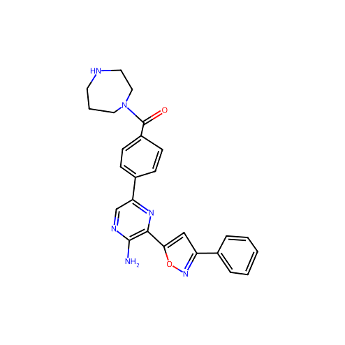 Nc1ncc(-c2ccc(C(=O)N3CCCNCC3)cc2)nc1-c1cc(-c2ccccc2)no1